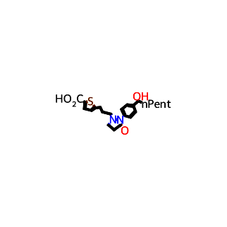 CCCCCC(O)c1ccc(N2C(=O)CCN2CCCc2ccc(C(=O)O)s2)cc1